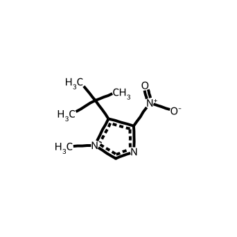 Cn1cnc([N+](=O)[O-])c1C(C)(C)C